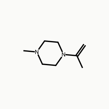 C=C(C)N1CCN(C)CC1